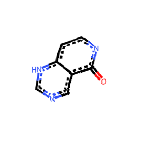 O=c1nccc2[nH]cncc1-2